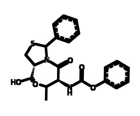 CC(C)[C@H](NC(=O)Oc1ccccc1)C(=O)N1C(c2ccccc2)SC[C@H]1C(=O)O